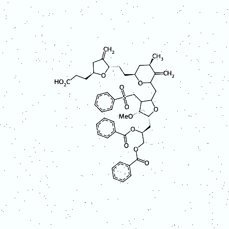 C=C1C(CC2O[C@H](C[C@@H](COC(=O)c3ccccc3)OC(=O)c3ccccc3)[C@H](OC)C2CS(=O)(=O)c2ccccc2)O[C@@H](CC[C@@H]2O[C@@H](CCC(=O)O)CC2=C)C[C@H]1C